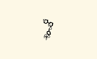 FC1(F)Oc2ccc(COc3cccc(C4=CCN=CC4)n3)cc2O1